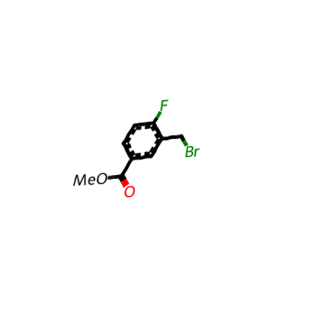 COC(=O)c1ccc(F)c(CBr)c1